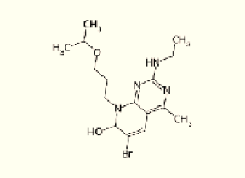 CCNc1nc(C)c2c(n1)N(CCCOC(C)C)C(O)C(Br)=C2